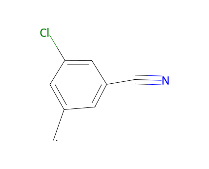 [CH2]c1cc(Cl)cc(C#N)c1